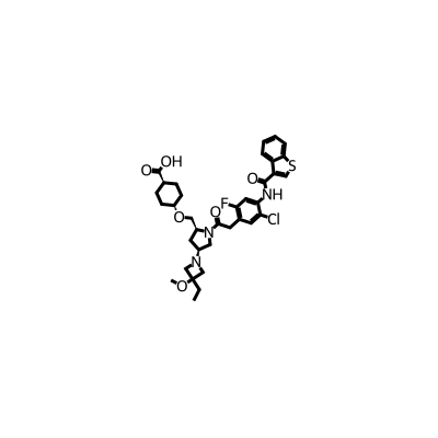 CCC1(OC)CN([C@H]2C[C@@H](CO[C@H]3CC[C@H](C(=O)O)CC3)N(C(=O)Cc3cc(Cl)c(NC(=O)c4csc5ccccc45)cc3F)C2)C1